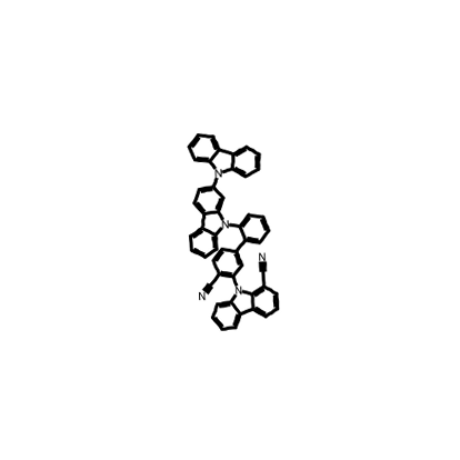 N#Cc1ccc(-c2ccccc2-n2c3ccccc3c3ccc(-n4c5ccccc5c5ccccc54)cc32)cc1-n1c2ccccc2c2cccc(C#N)c21